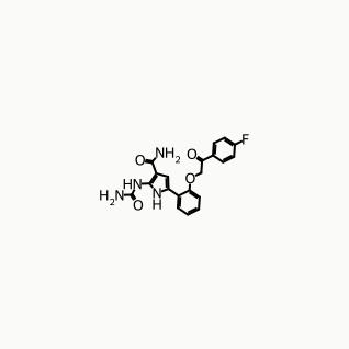 NC(=O)Nc1[nH]c(-c2ccccc2OCC(=O)c2ccc(F)cc2)cc1C(N)=O